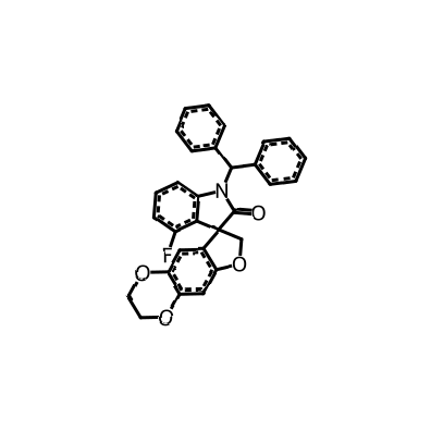 O=C1N(C(c2ccccc2)c2ccccc2)c2cccc(F)c2C12COc1cc3c(cc12)OCCO3